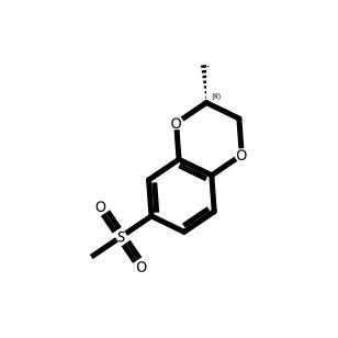 [CH2][C@@H]1COc2ccc(S(C)(=O)=O)cc2O1